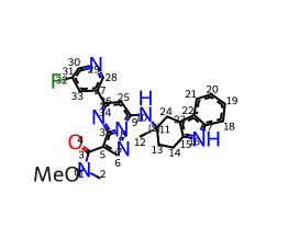 CON(C)C(=O)c1cnn2c(N[C@@]3(C)CCc4[nH]c5ccccc5c4C3)cc(-c3cncc(F)c3)nc12